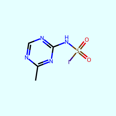 Cc1ncnc(NS(=O)(=O)I)n1